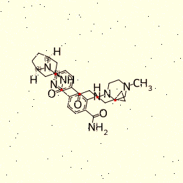 CN1CCN(CCC(=O)c2ccc(N3[C@@H]4CC[C@H]3C[C@@H](NC(=O)c3ccc(C(N)=O)c(NCC5CC5)c3)C4)nc2)CC1